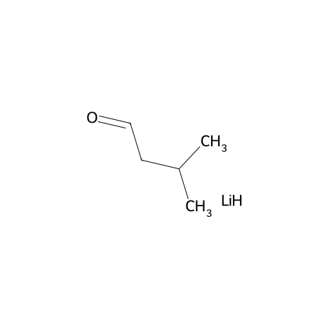 CC(C)CC=O.[LiH]